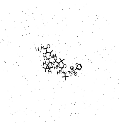 CC(NC(=O)[C@@H]1[C@@H]2[C@H](CN1C(=O)[C@@H](NC(=O)N[C@H](CN(C)S(=O)(=O)c1cccs1)C(C)(C)C)C(C)(C)C)C2(C)C)C(=O)C(N)=O